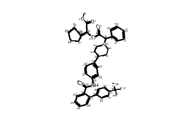 COC(=O)C(OC(=O)C(c1ccccc1)N1CCC(c2ccc(NC(=O)c3ccccc3-c3ccc(C(F)(F)F)cc3)cc2)CC1)C1CCCC1